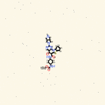 CN1CC2CN(c3ncc4c(=O)c(C(=O)NC5CCC(NC(=O)OC(C)(C)C)CC5)c5sc6ccccc6n5c4n3)CC2C1